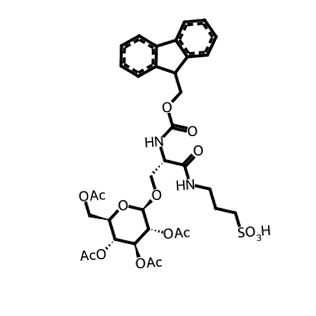 CC(=O)OC[C@H]1O[C@@H](OC[C@H](NC(=O)OCC2c3ccccc3-c3ccccc32)C(=O)NCCCS(=O)(=O)O)[C@H](OC(C)=O)[C@@H](OC(C)=O)[C@@H]1OC(C)=O